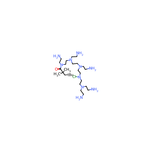 CC(C)(C)CC(C)(C)C(=O)N(CCN)CCN(CCN)CCN(CCN)CCN(Cl)CCN(CCN)CCN